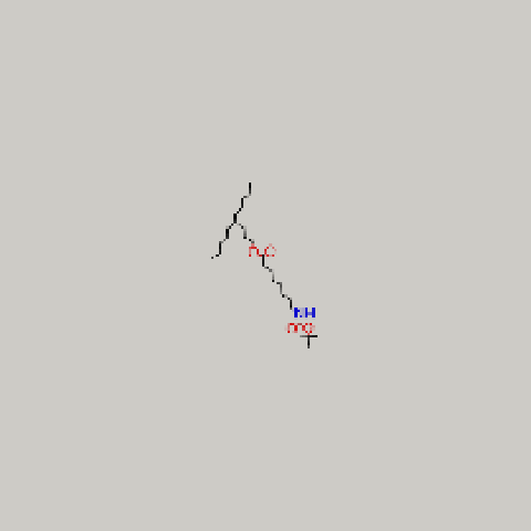 CCCCCC(CCCCC)CCCOC(=O)CCCCCCCNC(=O)OC(C)(C)C